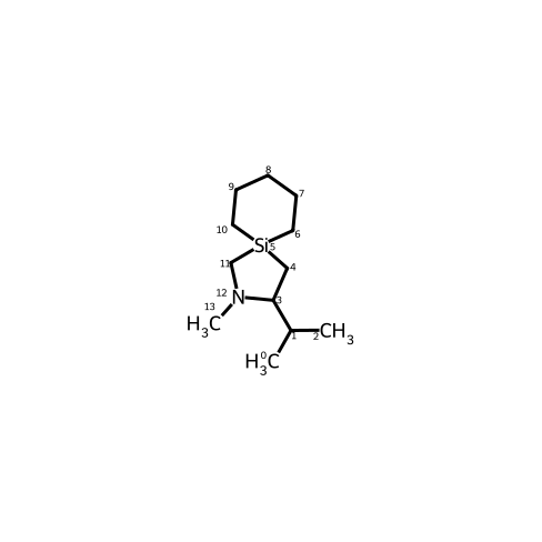 CC(C)C1C[Si]2(CCCCC2)CN1C